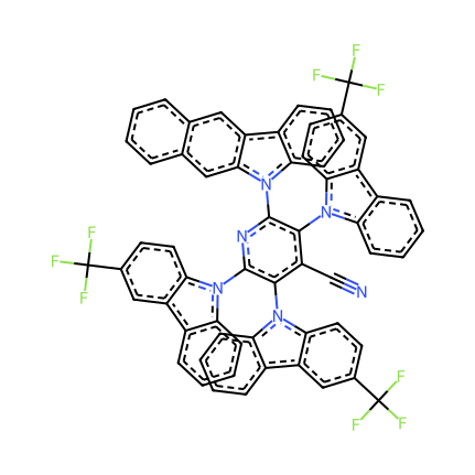 N#Cc1c(-n2c3ccccc3c3cc(C(F)(F)F)ccc32)c(-n2c3ccccc3c3cc(C(F)(F)F)ccc32)nc(-n2c3ccccc3c3cc4ccccc4cc32)c1-n1c2ccccc2c2cc(C(F)(F)F)ccc21